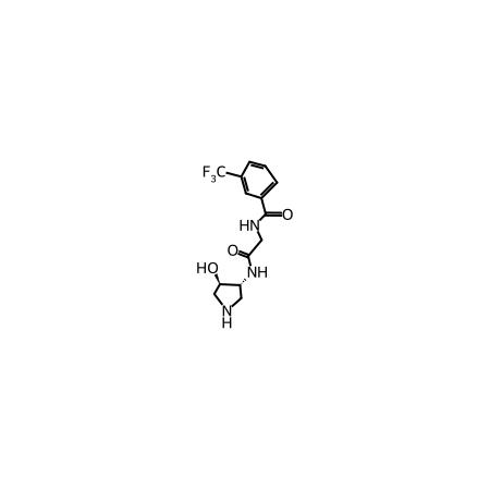 O=C(CNC(=O)c1cccc(C(F)(F)F)c1)N[C@@H]1CNC[C@H]1O